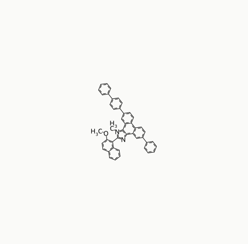 COc1ccc2ccccc2c1-c1nc2c3cc(-c4ccccc4)ccc3c3ccc(-c4ccc(-c5ccccc5)cc4)cc3c2n1C